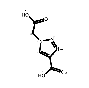 O=C(O)Cn1cc(C(=O)O)nn1